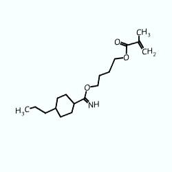 C=C(C)C(=O)OCCCCOC(=N)C1CCC(CCC)CC1